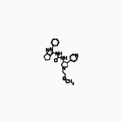 COCCN1CC(NC(=O)Nc2c3c(nn2-c2ccccc2)CCC3)C(c2ccncc2)C1